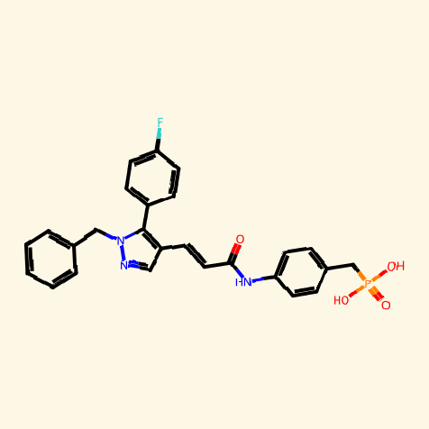 O=C(C=Cc1cnn(Cc2ccccc2)c1-c1ccc(F)cc1)Nc1ccc(CP(=O)(O)O)cc1